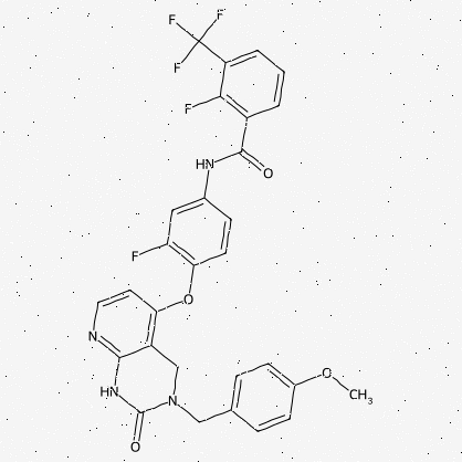 COc1ccc(CN2Cc3c(Oc4ccc(NC(=O)c5cccc(C(F)(F)F)c5F)cc4F)ccnc3NC2=O)cc1